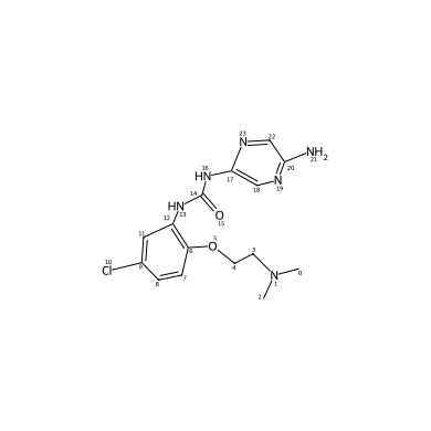 CN(C)CCOc1ccc(Cl)cc1NC(=O)Nc1cnc(N)cn1